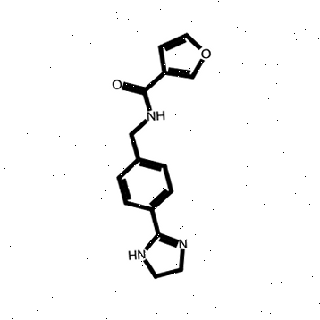 O=C(NCc1ccc(C2=NCCN2)cc1)c1ccoc1